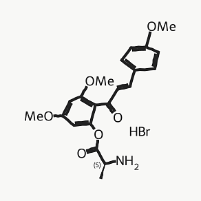 Br.COc1ccc(C=CC(=O)c2c(OC)cc(OC)cc2OC(=O)[C@H](C)N)cc1